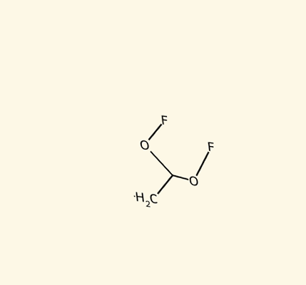 [CH2]C(OF)OF